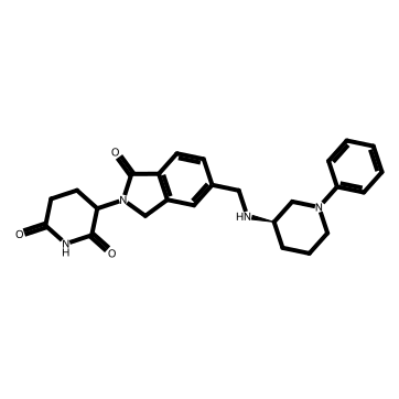 O=C1CCC(N2Cc3cc(CN[C@@H]4CCCN(c5ccccc5)C4)ccc3C2=O)C(=O)N1